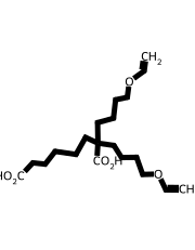 C=COCCCCC(CCCCCC(=O)O)(CCCCOC=C)C(=O)O